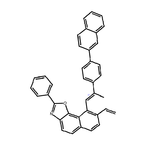 C=Cc1ccc2ccc3nc(-c4ccccc4)oc3c2c1/C=C(\C)c1ccc(-c2ccc3ccccc3c2)cc1